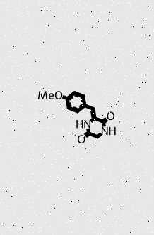 COc1ccc(C=C2NC(=O)CNC2=O)cc1